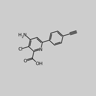 C#Cc1ccc(-c2cc(N)c(Cl)c(C(=O)O)n2)cc1